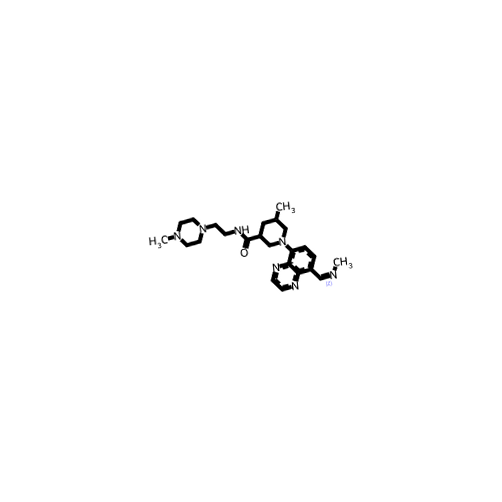 C/N=C\c1ccc(N2CC(C)CC(C(=O)NCCN3CCN(C)CC3)C2)c2nccnc12